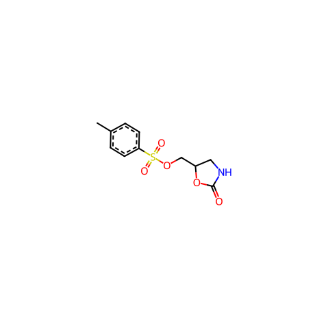 Cc1ccc(S(=O)(=O)OCC2CNC(=O)O2)cc1